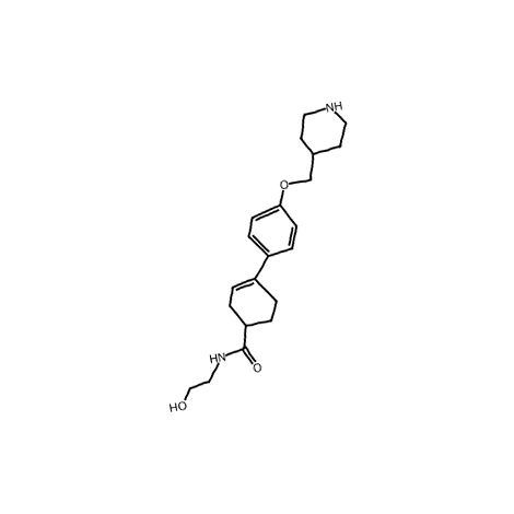 O=C(NCCO)C1CC=C(c2ccc(OCC3CCNCC3)cc2)CC1